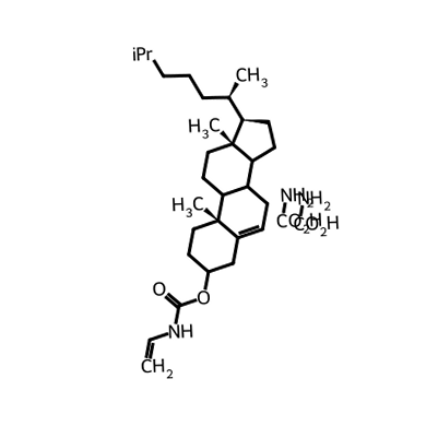 C=CNC(=O)OC1CC[C@@]2(C)C(=CCC3C2CC[C@@]2(C)C3CC[C@@H]2[C@H](C)CCCC(C)C)C1.NC(=O)O.NC(=O)O